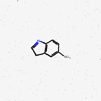 O=[N+]([O-])c1ccc2c(c1)CC=N2